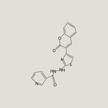 O=C(NNc1nc(-c2cc3ccccc3oc2=O)cs1)c1cccnc1